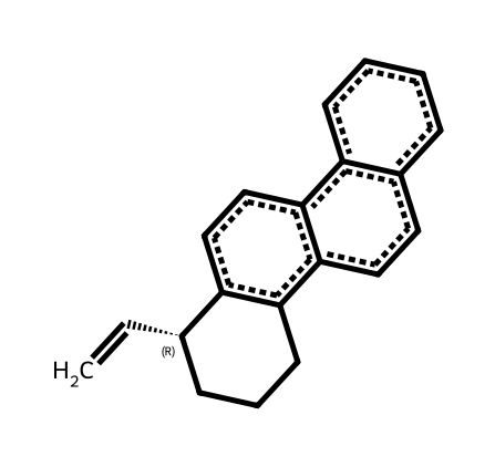 C=C[C@H]1CCCc2c1ccc1c2ccc2ccccc21